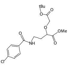 COC(=O)C(CCNC(=O)c1ccc(Cl)cc1)OCC(=O)OC(C)(C)C